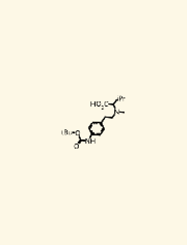 CC(C)C(C(=O)O)N(C)CCc1ccc(NC(=O)OC(C)(C)C)cc1